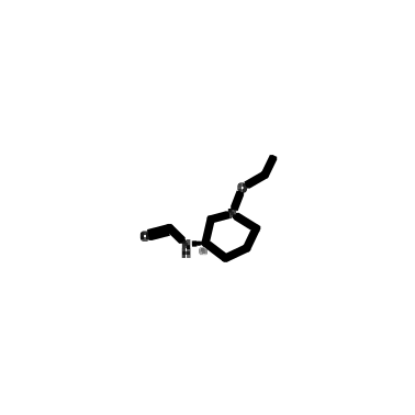 CCON1CCC[C@H](NC=O)C1